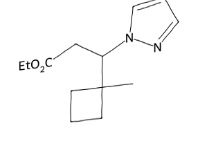 CCOC(=O)CC(n1cccn1)C1(C)CCC1